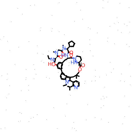 CCN1C[C@@H]1C(=O)N(C)CC(=O)N(C)[C@H](C(=O)N[C@H]1Cc2cc(O)cc(c2)-c2ccc3c(c2)c(c(-c2cccnc2C(C)C)n3CC)CC(C)(C)COC(=O)[C@@H]2CCCN(N2)C1=O)C1CCCC1